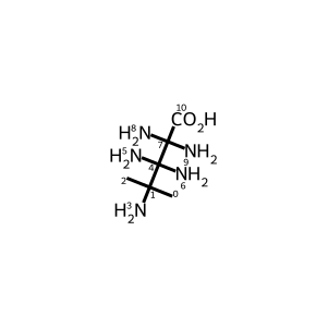 CC(C)(N)C(N)(N)C(N)(N)C(=O)O